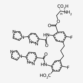 N[C@H](COC(=O)c1cc(F)c(CCCc2cc(NC(=O)c3ccc(-n4ccnc4)nn3)c(C(=O)O)cc2F)cc1NC(=O)c1ccc(-n2ccnc2)nn1)C(=O)O